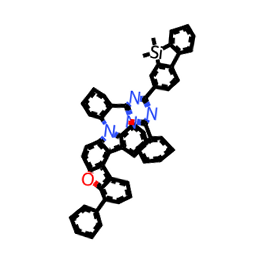 C[Si]1(C)c2ccccc2-c2ccc(-c3nc(-c4ccccc4)nc(-c4ccccc4-n4c5ccccc5c5c6c(ccc54)oc4c(-c5ccccc5)cccc46)n3)cc21